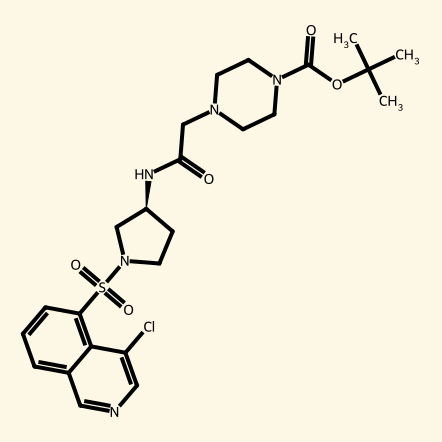 CC(C)(C)OC(=O)N1CCN(CC(=O)N[C@H]2CCN(S(=O)(=O)c3cccc4cncc(Cl)c34)C2)CC1